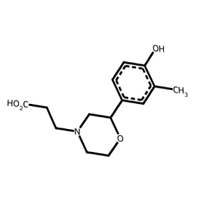 Cc1cc(C2CN(CCC(=O)O)CCO2)ccc1O